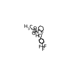 CCS(=O)(=O)N[C@@H]1CCCC[C@H]1COc1ccc(C(F)(F)F)cc1